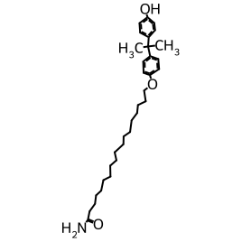 CC(C)(c1ccc(O)cc1)c1ccc(OCCCCCCCCCCCCCCCCCC(N)=O)cc1